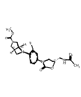 COC(=O)N1C[C@H]2CN(c3ccc(N4C[C@H](CNC(C)=O)OC4=O)cc3F)[C@H]2C1